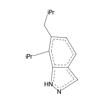 CC(C)Cc1ccc2cn[nH]c2c1C(C)C